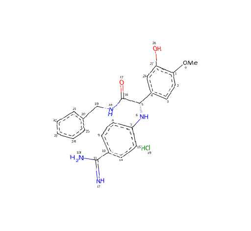 COc1ccc([C@H](Nc2ccc(C(=N)N)cc2)C(=O)NCc2ccccc2)cc1O.Cl